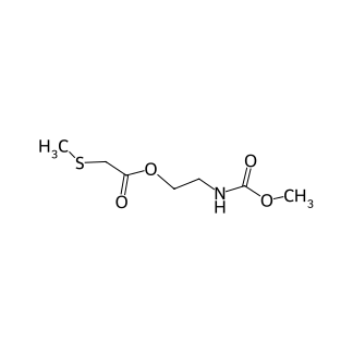 COC(=O)NCCOC(=O)CSC